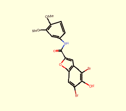 COc1ccc(NC(=O)c2cc3c(Br)c(O)c(Br)cc3o2)cc1OC